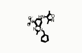 Cc1noc(C)c1Nc1cc([N+](=O)[O-])c2nc(C)n(Cc3ccccc3)c2c1